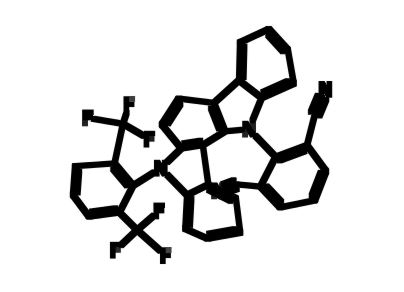 N#Cc1cccc(C#N)c1-n1c2ccccc2c2ccc3c(c4ccccc4n3-c3c(C(F)(F)F)cccc3C(F)(F)F)c21